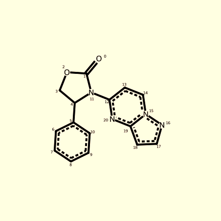 O=C1OCC(c2ccccc2)N1c1ccn2nccc2n1